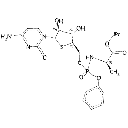 CC(C)OC(=O)[C@@H](C)NP(=O)(OC[C@H]1SC(n2ccc(N)nc2=O)[C@@H](O)[C@@H]1O)Oc1ccccc1